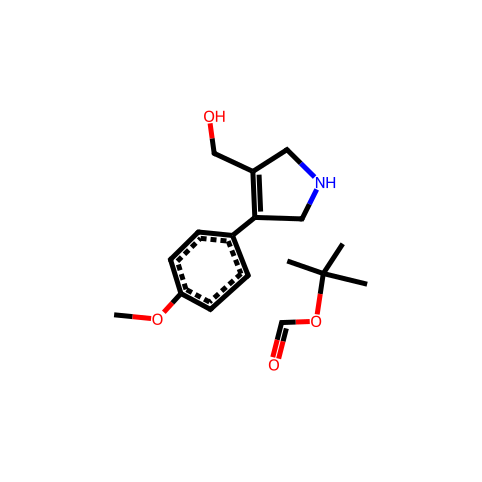 CC(C)(C)OC=O.COc1ccc(C2=C(CO)CNC2)cc1